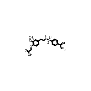 COc1cc(CCNS(=O)(=O)c2ccc(C(=N)N)cc2)ccc1OCC(=O)O